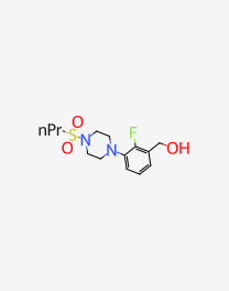 CCCS(=O)(=O)N1CCN(c2cccc(CO)c2F)CC1